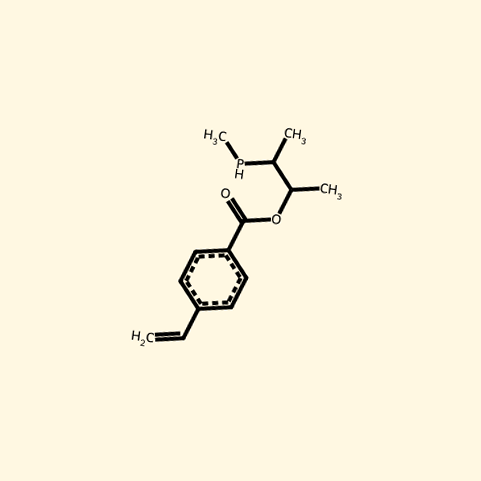 C=Cc1ccc(C(=O)OC(C)C(C)PC)cc1